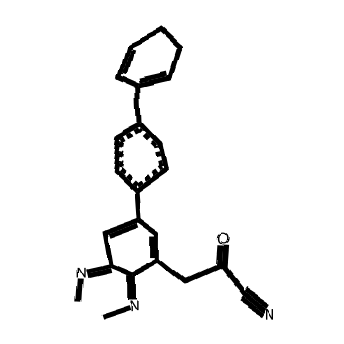 C/N=C1/C=C(c2ccc(C3=CCCC=C3)cc2)C=C(CC(=O)C#N)/C1=N/C